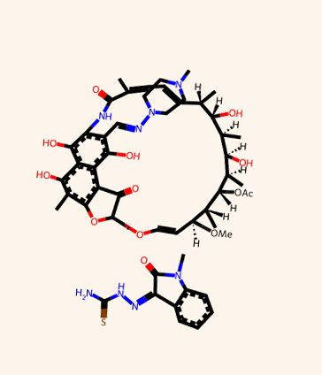 CN1C(=O)/C(=N\NC(N)=S)c2ccccc21.CO[C@H]1/C=C/O[C@@]2(C)Oc3c(C)c(O)c4c(O)c(c(/C=N/N5CCN(C)CC5)c(O)c4c3C2=O)NC(=O)/C(C)=C\C=C\[C@H](C)[C@H](O)[C@@H](C)[C@@H](O)[C@@H](C)[C@H](OC(C)=O)[C@@H]1C